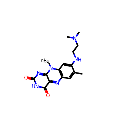 CCCCn1c2nc(=O)[nH]c(=O)c-2nc2cc(C)c(NCCN(C)C)cc21